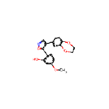 COc1ccc(-c2oncc2-c2ccc3c(c2)OCCO3)c(O)c1